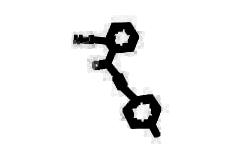 CSc1ccccc1C(=O)C#Cc1ccc(C)cc1